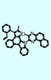 C=Cc1ccccc1-c1c(C)sc2c1c1ccccc1c1c3ccccc3n(-c3nc4c(ccc5ccccc54)nc3Cl)c21